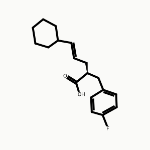 O=C(O)[C@@H](C/C=C/C1CCCCC1)Cc1ccc(F)cc1